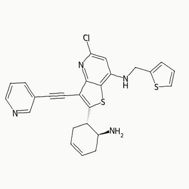 N[C@H]1CC=CC[C@@H]1c1sc2c(NCc3cccs3)cc(Cl)nc2c1C#Cc1cccnc1